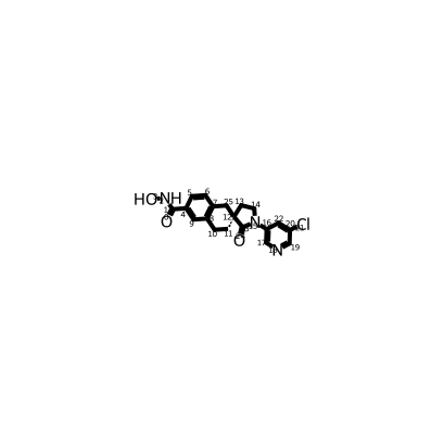 O=C(NO)c1ccc2c(c1)CC[C@@]1(CCN(c3cncc(Cl)c3)C1=O)C2